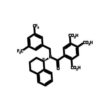 O=C(O)c1cc(C(=O)O)c(C(=O)N(Cc2cc(C(F)(F)F)cc(C(F)(F)F)c2)[C@H]2CCCc3ccccc32)cc1C(=O)O